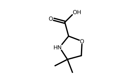 CC1(C)COC(C(=O)O)N1